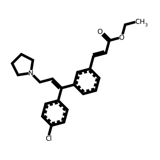 CCOC(=O)/C=C/c1cccc(C(=CCN2CCCC2)c2ccc(Cl)cc2)c1